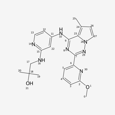 COc1cccc(-c2nc(Nc3ccnc(NCC(C)(C)O)c3)c3c(C)ccn3n2)n1